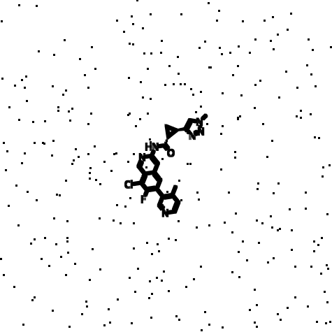 Cc1ccncc1-c1cc2cc(NC(=O)[C@@H]3C[C@H]3c3cn(C)nn3)ncc2c(Cl)c1F